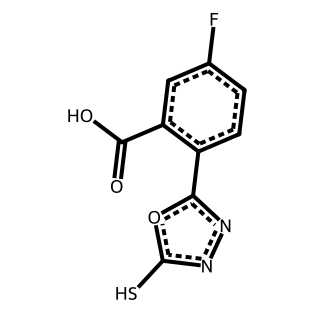 O=C(O)c1cc(F)ccc1-c1nnc(S)o1